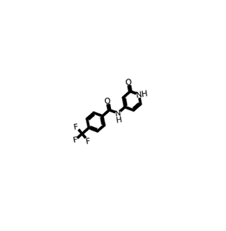 O=C(Nc1cc[nH]c(=O)c1)c1ccc(C(F)(F)F)cc1